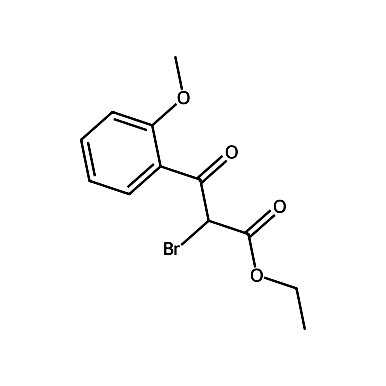 CCOC(=O)C(Br)C(=O)c1ccccc1OC